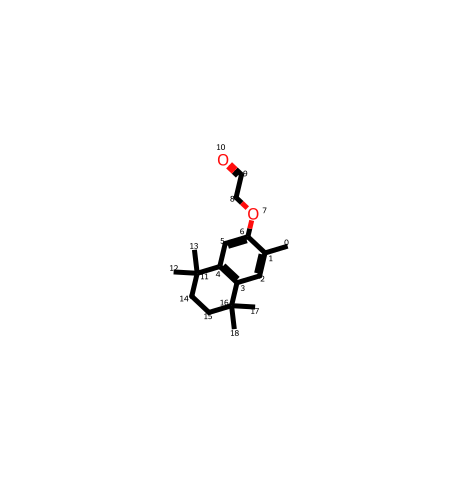 Cc1cc2c(cc1OCC=O)C(C)(C)CCC2(C)C